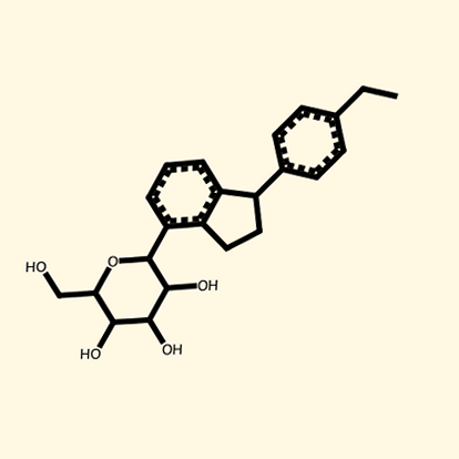 CCc1ccc(C2CCc3c2cccc3C2OC(CO)C(O)C(O)C2O)cc1